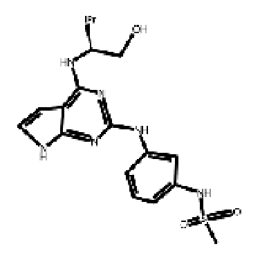 CC(C)[C@@H](CO)Nc1nc(Nc2cccc(NS(C)(=O)=O)c2)nc2[nH]ccc12